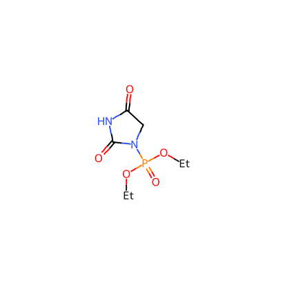 CCOP(=O)(OCC)N1CC(=O)NC1=O